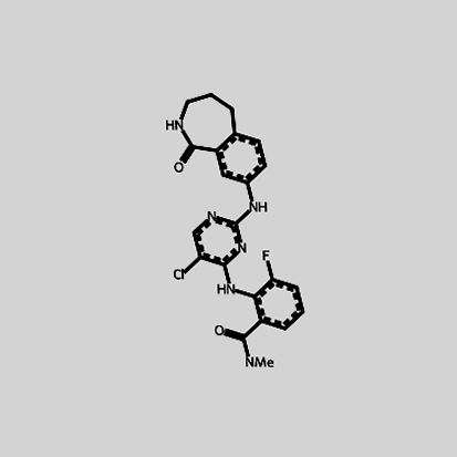 CNC(=O)c1cccc(F)c1Nc1nc(Nc2ccc3c(c2)C(=O)NCCC3)ncc1Cl